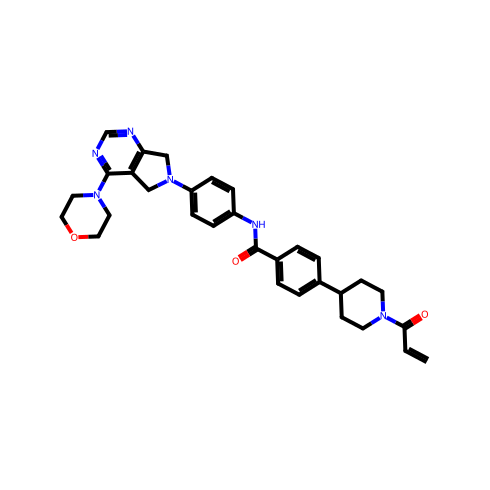 C=CC(=O)N1CCC(c2ccc(C(=O)Nc3ccc(N4Cc5ncnc(N6CCOCC6)c5C4)cc3)cc2)CC1